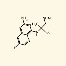 CCCCC(C)(CNC(C)=O)Nc1nc(N)nc2cc(F)cnc12